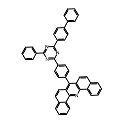 c1ccc(-c2ccc(-c3nc(-c4ccccc4)nc(-c4ccc(-c5c6ccc7ccccc7c6nc6c5ccc5ccccc56)cc4)n3)cc2)cc1